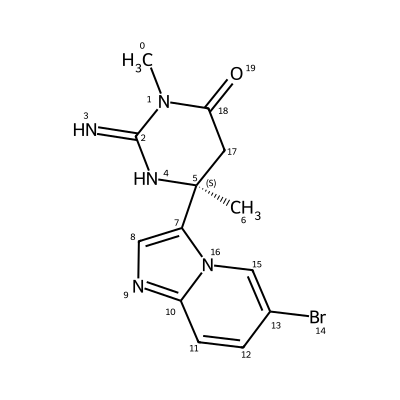 CN1C(=N)N[C@](C)(c2cnc3ccc(Br)cn23)CC1=O